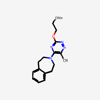 COCCOc1nnc(C#N)c(N2CCc3ccccc3CC2)n1